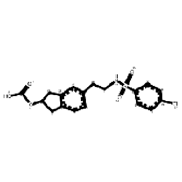 O=C(O)OC1Cc2ccc(CCNS(=O)(=O)c3ccc(Cl)cc3)cc2C1